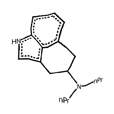 CCCN(CCC)C1Cc2cccc3[nH]cc(c23)C1